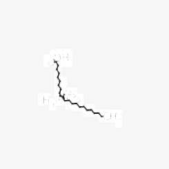 CCCCCCCCCCCC[N+](C)(C)CCCCCCCCC(=O)O